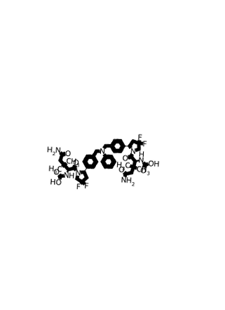 CC(C)(CC(N)=O)[C@H](NC(=O)O)C(=O)N1CC(F)(F)C[C@H]1c1ccc(CN(Cc2ccc([C@@H]3CC(F)(F)CN3C(=O)[C@@H](NC(=O)O)C(C)(C)CC(N)=O)cc2)c2ccccc2)cc1